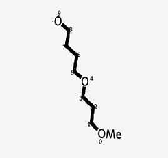 COCCCOCCCC[O]